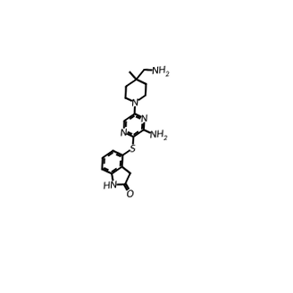 CC1(CN)CCN(c2cnc(Sc3cccc4c3CC(=O)N4)c(N)n2)CC1